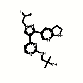 CC(C)(O)CNc1nccc(-c2cn(CC(F)F)nc2-c2cnc3c(c2)CCN3)n1